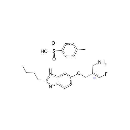 CCCCc1nc2ccc(OC/C(=C/F)CN)cc2[nH]1.Cc1ccc(S(=O)(=O)O)cc1